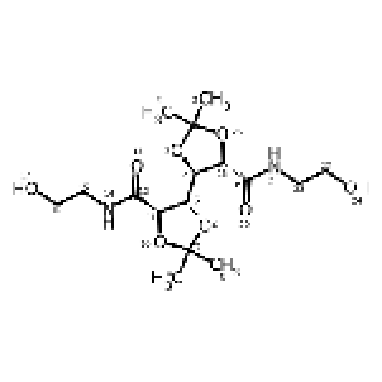 CC1(C)O[C@H]([C@@H]2OC(C)(C)O[C@H]2C(=O)NCCO)[C@@H](C(=O)NCCO)O1